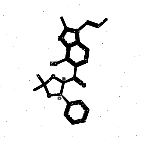 CC=Cn1c(C)nc2c(O)c(C(=O)[C@@H]3OC(C)(C)O[C@H]3c3ccccc3)ccc21